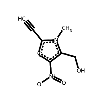 C#Cc1nc([N+](=O)[O-])c(CO)n1C